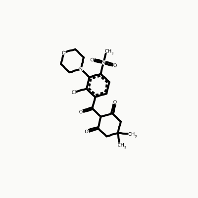 CC1(C)CC(=O)C(C(=O)c2ccc(S(C)(=O)=O)c(N3CCOCC3)c2Cl)C(=O)C1